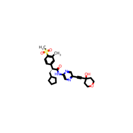 Cc1cc([C@@H](CC2CCCC2)C(=O)Nc2cnc(C#CC3(O)CCOCC3)cn2)ccc1S(C)(=O)=O